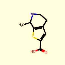 CC1NCCc2cc(C(=O)O)sc21